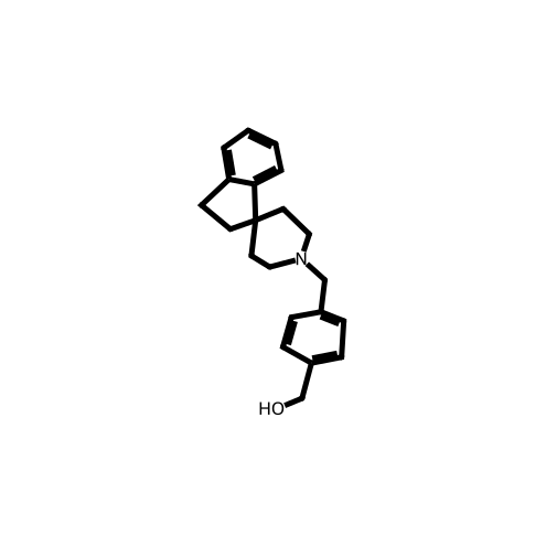 OCc1ccc(CN2CCC3(CCc4ccccc43)CC2)cc1